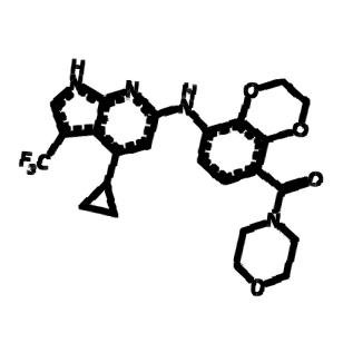 O=C(c1ccc(Nc2cc(C3CC3)c3c(C(F)(F)F)c[nH]c3n2)c2c1OCCO2)N1CCOCC1